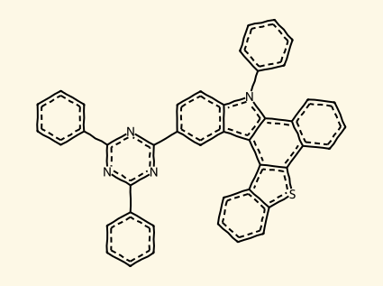 c1ccc(-c2nc(-c3ccccc3)nc(-c3ccc4c(c3)c3c5c6ccccc6sc5c5ccccc5c3n4-c3ccccc3)n2)cc1